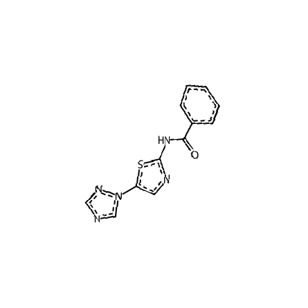 O=C(Nc1ncc(-n2cncn2)s1)c1ccccc1